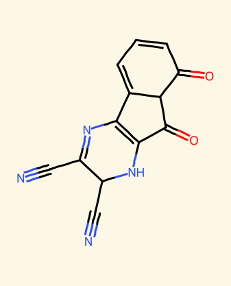 N#CC1=NC2=C(NC1C#N)C(=O)C1C(=O)C=CC=C21